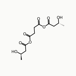 C[C@@H](O)CC(=O)OC(=O)CCC(=O)OC(=O)C[C@@H](C)O